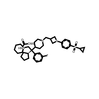 COC(=O)N[C@H]1CCC[C@@H]1C(CN1CCCCC1)(c1cccc(F)c1)C1CCN(CC2CN(c3ccc(S(=O)(=O)C4CC4)cc3)C2)CC1